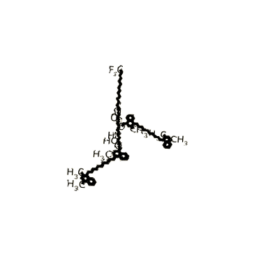 Cc1cc(C)c2ccccc2c1CCCCCCCCCCc1c(C)cc(COCC(O)CNSCC(COC(=O)COCCCCCCCCCCCCCC(F)(F)F)OCC2CC(C)C(CCCCCCCCCCc3c(C)cc(C)c4ccccc34)c3ccccc32)c2ccccc12